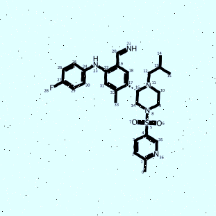 Cc1ccc(S(=O)(=O)N2CCN(CC(C)C)[C@@H](c3cc(C=N)c(Nc4ccc(F)cc4)cc3C)C2)cn1